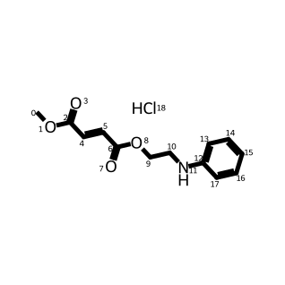 COC(=O)/C=C/C(=O)OCCNc1ccccc1.Cl